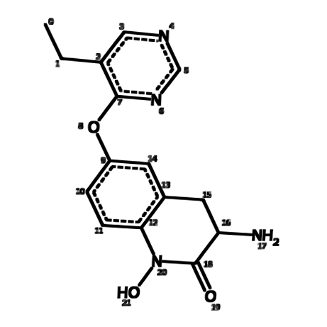 CCc1cncnc1Oc1ccc2c(c1)CC(N)C(=O)N2O